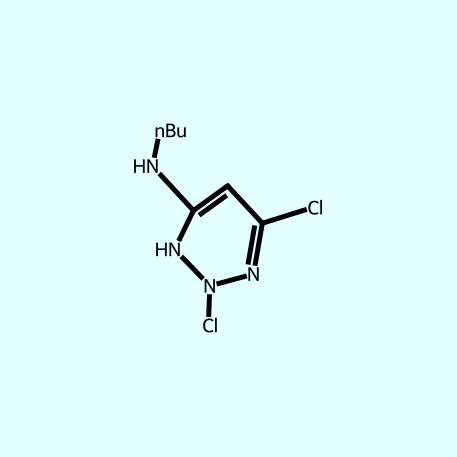 CCCCNC1=CC(Cl)=NN(Cl)N1